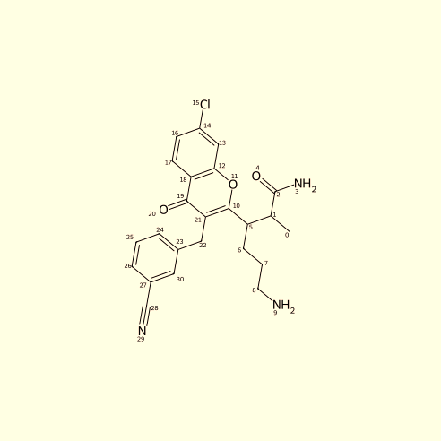 CC(C(N)=O)C(CCCN)c1oc2cc(Cl)ccc2c(=O)c1Cc1cccc(C#N)c1